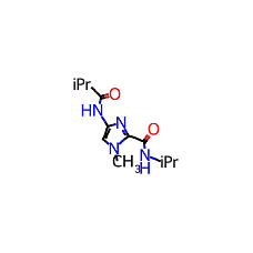 CC(C)NC(=O)c1nc(NC(=O)C(C)C)cn1C